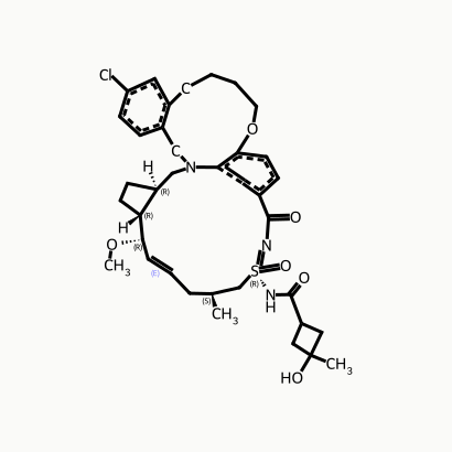 CO[C@H]1/C=C/C[C@H](C)C[S@@](=O)(NC(=O)C2CC(C)(O)C2)=NC(=O)c2ccc3c(c2)N(Cc2ccc(Cl)cc2CCCCO3)C[C@@H]2CC[C@H]21